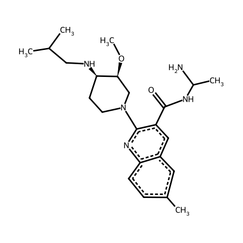 CO[C@H]1CN(c2nc3ccc(C)cc3cc2C(=O)NC(C)N)CC[C@H]1NCC(C)C